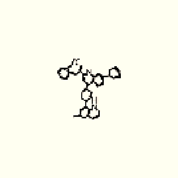 CC1C=C(C2C=CC(c3cc(C4=C\CC\C=c5/cccc/c5=C/4)nc4cc(C5C=CC#CC5)ccc34)=CC2)C2=C(C=CCN2)C1